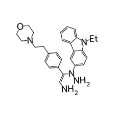 CCn1c2ccccc2c2cc(N(N)/C(=C\N)c3ccc(CCN4CCOCC4)cc3)ccc21